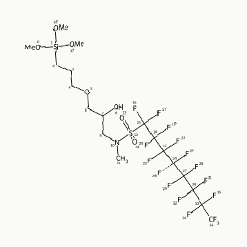 CO[Si](CCCOCC(O)CN(C)S(=O)(=O)C(F)(F)C(F)(F)C(F)(F)C(F)(F)C(F)(F)C(F)(F)C(F)(F)C(F)(F)F)(OC)OC